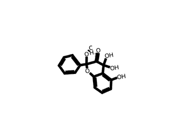 COC1(c2ccccc2)Oc2cccc(O)c2C(O)(O)C1=O